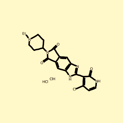 CCN1CCC(N2C(=O)c3cc4nc(-c5c(Cl)cc[nH]c5=O)[nH]c4cc3C2=O)CC1.Cl.Cl